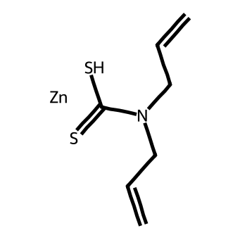 C=CCN(CC=C)C(=S)S.[Zn]